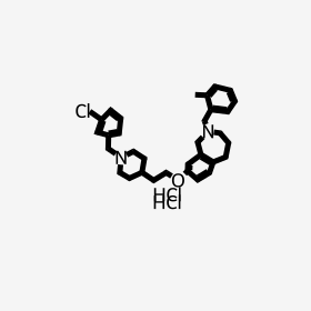 Cc1ccccc1CN1CCCc2ccc(OCCC3CCN(Cc4cccc(Cl)c4)CC3)cc2C1.Cl.Cl